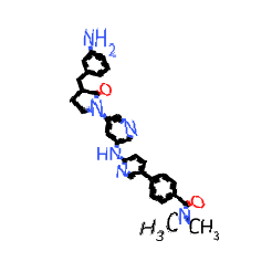 CN(C)C(=O)c1ccc(-c2ccc(Nc3cncc(N4CCC(Cc5cccc(N)c5)C4=O)c3)nc2)cc1